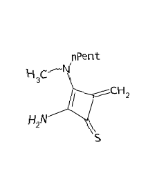 C=C1C(=S)C(N)=C1N(C)CCCCC